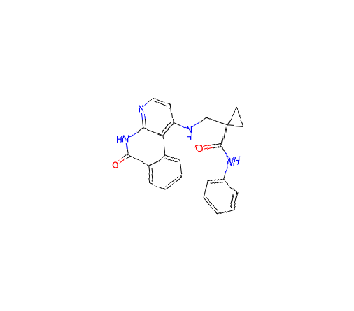 O=C(Nc1ccccc1)C1(CNc2ccnc3[nH]c(=O)c4ccccc4c23)CC1